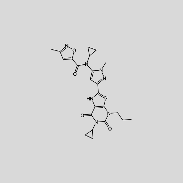 CCCn1c(=O)n(C2CC2)c(=O)c2[nH]c(-c3cc(N(C(=O)c4cc(C)no4)C4CC4)n(C)n3)nc21